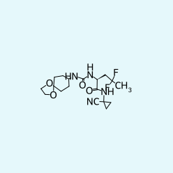 CC(F)(F)C[C@H](NC(=O)NC1CCC2(CC1)OCCO2)C(=O)NC1(C#N)CC1